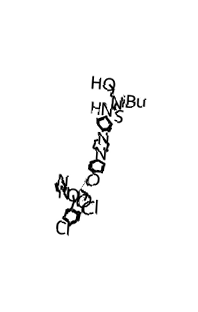 CCC(C)N(CCO)C(=S)Nc1ccc(N2CCN(c3ccc(OC[C@@H]4CO[C@@](Cn5ccnc5)(c5ccc(Cl)cc5Cl)O4)cc3)CC2)cc1